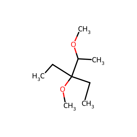 CCC(CC)(OC)C(C)OC